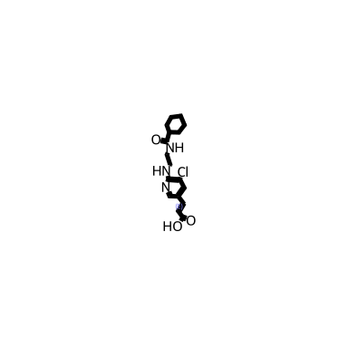 O=C(O)/C=C/c1cnc(NCCNC(=O)C2CCCCC2)c(Cl)c1